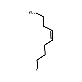 CCCCCC/C=C\CCCCl